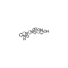 O=C(O)C(Cc1ccc(O)cc1)OC(=O)N1CCC(N2CCc3ccccc3NC2=O)CC1